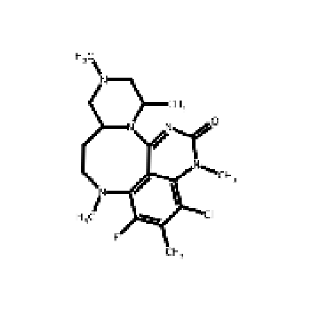 Cc1c(F)c2c3c(nc(=O)n(C)c3c1Cl)N1C(C)CN(C)CC1CCN2C